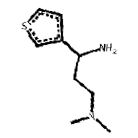 CN(C)CCC(N)c1ccsc1